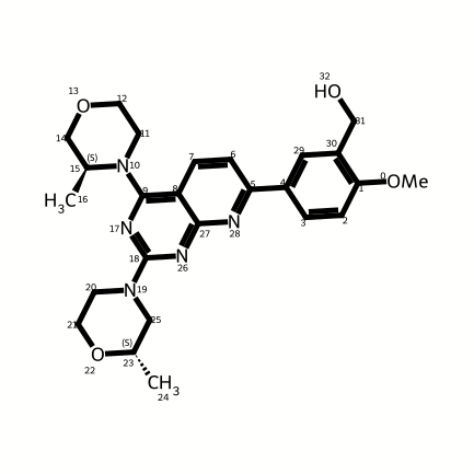 COc1ccc(-c2ccc3c(N4CCOC[C@@H]4C)nc(N4CCO[C@@H](C)C4)nc3n2)cc1CO